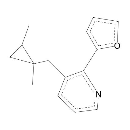 CC1CC1(C)Cc1cccnc1-c1ccco1